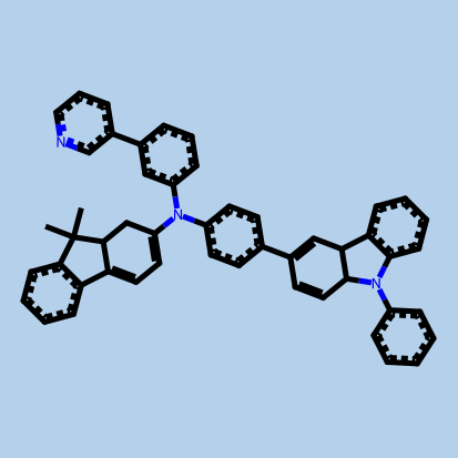 CC1(C)c2ccccc2C2=CC=C(N(c3ccc(C4=CC5c6ccccc6N(c6ccccc6)C5C=C4)cc3)c3cccc(-c4cccnc4)c3)CC21